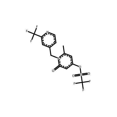 Cc1cc(OS(=O)(=O)C(F)(F)F)cc(=O)n1Cc1ccnc(C(F)(F)F)c1